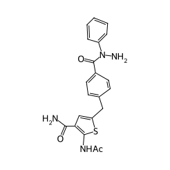 CC(=O)Nc1sc(Cc2ccc(C(=O)N(N)c3ccccc3)cc2)cc1C(N)=O